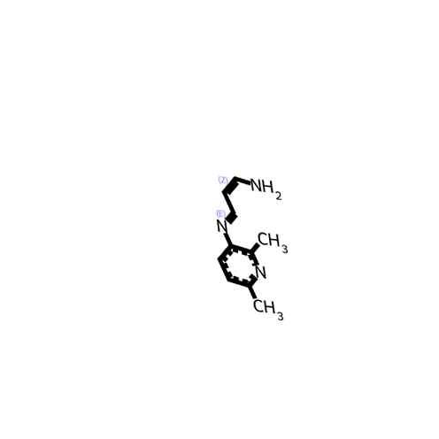 Cc1ccc(/N=C/C=C\N)c(C)n1